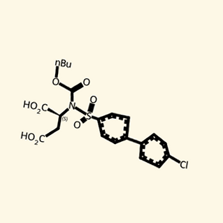 CCCCOC(=O)N([C@@H](CC(=O)O)C(=O)O)S(=O)(=O)c1ccc(-c2ccc(Cl)cc2)cc1